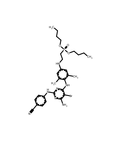 CCCCOP(=O)(CCNc1cc(C)c(Nc2nc(Nc3ccc(C#N)cc3)nc(N)c2Br)c(C)c1)OCCCC